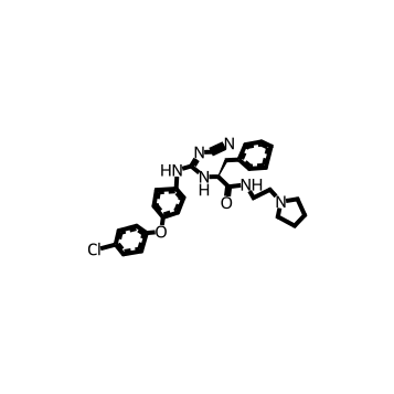 N#C/N=C(/Nc1ccc(Oc2ccc(Cl)cc2)cc1)N[C@@H](Cc1ccccc1)C(=O)NCCN1CCCC1